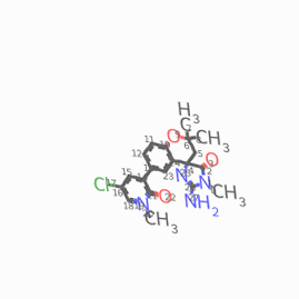 CN1C(=O)C2(CC(C)(C)Oc3ccc(-c4cc(Cl)cn(C)c4=O)cc32)N=C1N